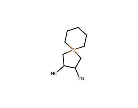 N#CC1CS2(CCCCC2)CC1C#N